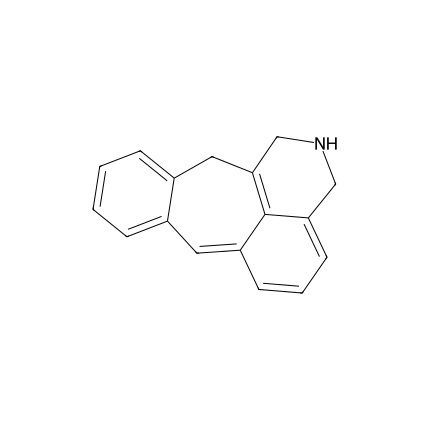 C1=c2cccc3c2=C(CNC3)Cc2ccccc21